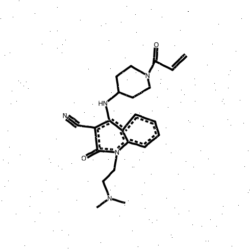 C=CC(=O)N1CCC(Nc2c(C#N)c(=O)n(CCN(C)C)c3ccccc23)CC1